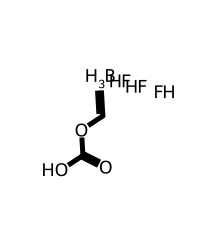 B.C=COC(=O)O.F.F.F